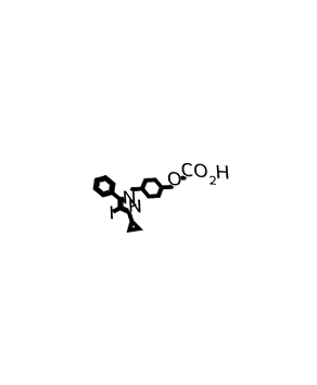 O=C(O)COCC1CCC(Cn2nc(C3CC3)c(I)c2-c2ccccc2)CC1